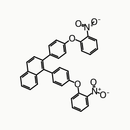 O=[N+]([O-])c1ccccc1Oc1ccc(-c2ccc3ccccc3c2-c2ccc(Oc3ccccc3[N+](=O)[O-])cc2)cc1